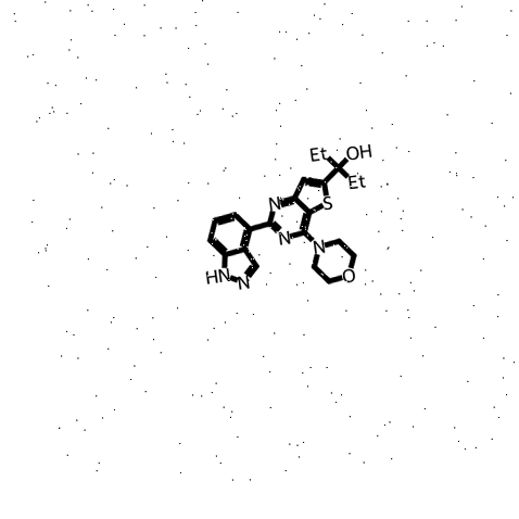 CCC(O)(CC)c1cc2nc(-c3cccc4[nH]ncc34)nc(N3CCOCC3)c2s1